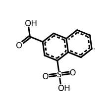 O=C(O)c1cc(S(=O)(=O)O)c2c[c]ccc2c1